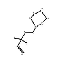 C=CC(C)(C)CCN1CCOCC1